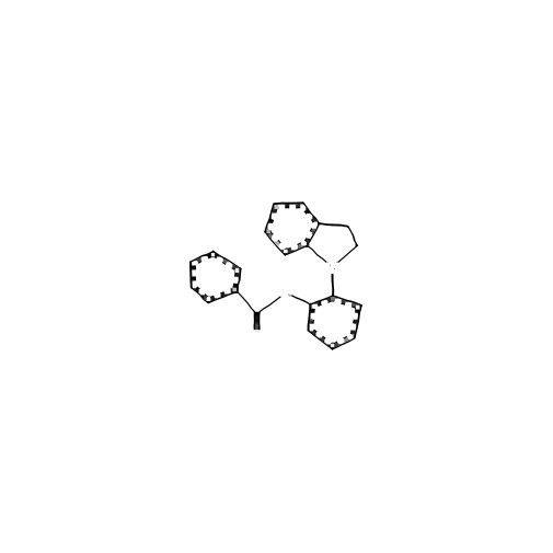 O=C(Nc1ccccc1N1CCc2ccccc21)c1ccccc1